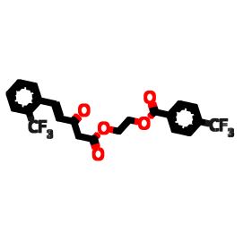 O=C(C=Cc1ccccc1C(F)(F)F)CC(=O)OCCOC(=O)c1ccc(C(F)(F)F)cc1